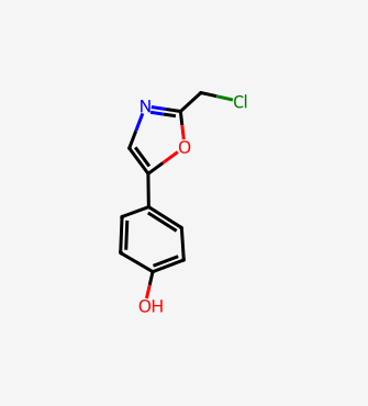 Oc1ccc(-c2cnc(CCl)o2)cc1